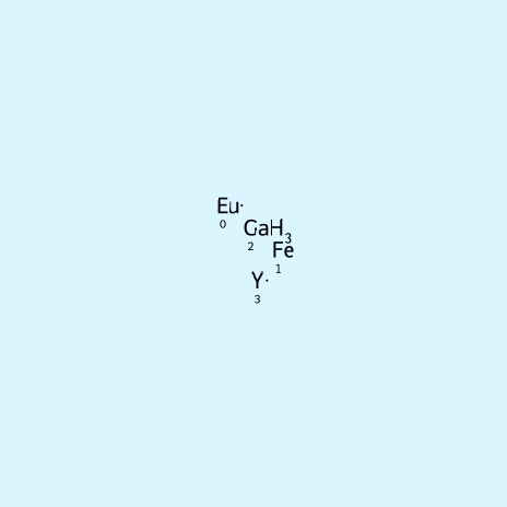 [Eu].[Fe].[GaH3].[Y]